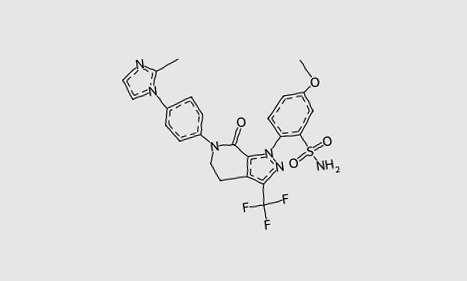 COc1ccc(-n2nc(C(F)(F)F)c3c2C(=O)N(c2ccc(-n4ccnc4C)cc2)CC3)c(S(N)(=O)=O)c1